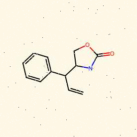 C=CC(c1ccccc1)C1COC(=O)[N]1